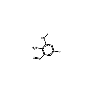 CNc1cc(F)cc(C=O)c1N